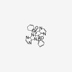 O=S1(=O)c2nccnc2S(=O)(=O)C12N(C1=CC=CCC1)c1nccnc1N2c1ccccc1